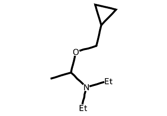 CCN(CC)C(C)OCC1CC1